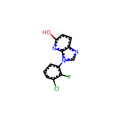 Oc1ccc2ncn(-c3cccc(Cl)c3F)c2n1